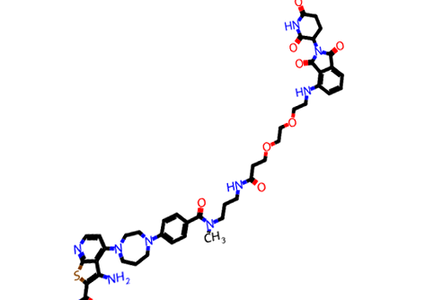 CN(CCCNC(=O)CCOCCOCCNc1cccc2c1C(=O)N(C1CCC(=O)NC1=O)C2=O)C(=O)c1ccc(N2CCCN(c3ccnc4sc(C(N)=O)c(N)c34)CC2)cc1